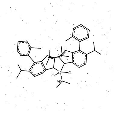 Cc1ccccc1-c1c(C(C)C)ccc2c1C=C(C(C)C)[CH]2[Zr]([Cl])([Cl])([CH]1C(C(C)C)=Cc2c1ccc(C(C)C)c2-c1ccccc1C)[SiH](C)C